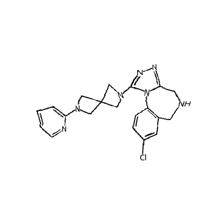 Clc1ccc2c(c1)CNCc1nnc(N3CC4(CN(c5ccccn5)C4)C3)n1-2